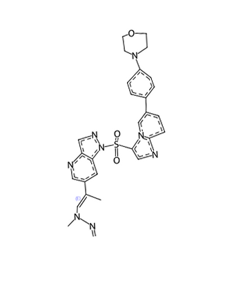 C=NN(C)/C=C(\C)c1cnc2cnn(S(=O)(=O)c3cnc4ccc(-c5ccc(N6CCOCC6)cc5)cn34)c2c1